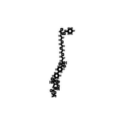 CC(C)(C)OC(=O)NCC(NS(=O)(=O)c1ccc(-c2ccc(S(=O)(=O)NCCCOCCOCCOCCCN(C=O)OCc3ccccc3)cc2)cc1)C(=O)O